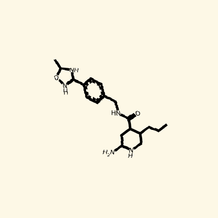 CCCC1CNC(N)CC1C(=O)NCc1ccc(C2NOC(C)N2)cc1